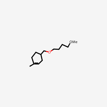 COCCCCOCC1CC=C(C)CC1